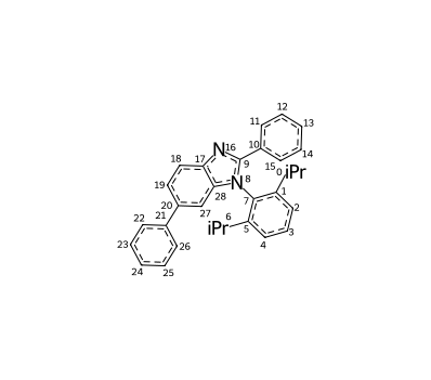 CC(C)c1cccc(C(C)C)c1-n1c(-c2ccccc2)nc2ccc(-c3ccccc3)cc21